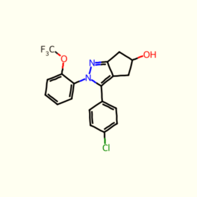 OC1Cc2nn(-c3ccccc3OC(F)(F)F)c(-c3ccc(Cl)cc3)c2C1